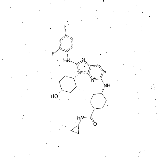 O=C(NC1CC1)C1CCC(Nc2ncc3nc(Nc4ccc(F)cc4F)n([C@H]4CC[C@@H](O)CC4)c3n2)CC1